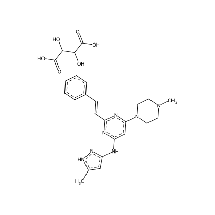 Cc1cc(Nc2cc(N3CCN(C)CC3)nc(C=Cc3ccccc3)n2)n[nH]1.O=C(O)C(O)C(O)C(=O)O